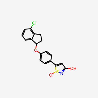 [O-][s+]1nc(O)cc1-c1ccc(OC2CCc3c(Cl)cccc32)cc1